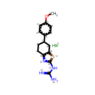 Br.COc1ccc(C2CCc3nc(NC(=N)N)sc3C2)cc1